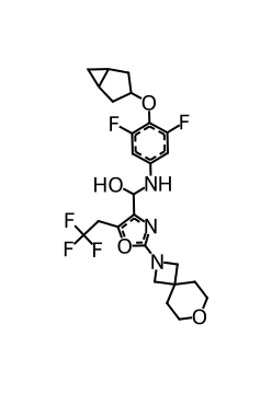 OC(Nc1cc(F)c(OC2CC3CC3C2)c(F)c1)c1nc(N2CC3(CCOCC3)C2)oc1CC(F)(F)F